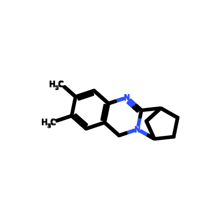 Cc1cc2c(cc1C)N=C1C3CCC(C3)N1C2